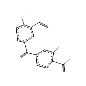 C=Cc1cc(C(=C)c2ccc(C(=C)C)c(C)c2)ccc1C=O